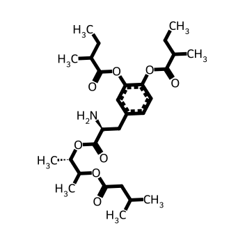 CCC(C)C(=O)Oc1ccc(C[C@H](N)C(=O)O[C@@H](C)C(C)OC(=O)CC(C)C)cc1OC(=O)C(C)CC